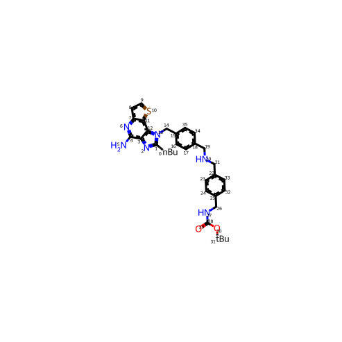 CCCCc1nc2c(N)nc3ccsc3c2n1Cc1ccc(CNCc2ccc(CNC(=O)OC(C)(C)C)cc2)cc1